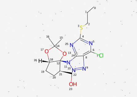 CCCSc1nc(Cl)c2nnn([C@]34OC(C)(C)O[C@H]3CC[C@@H]4CO)c2n1